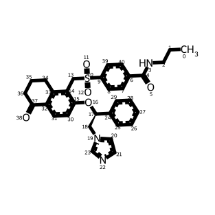 CCCNC(=O)c1ccc(S(=O)(=O)Cc2c(O[C@H](Cn3ccnc3)c3ccccc3)ccc3c2CCCC3=O)cc1